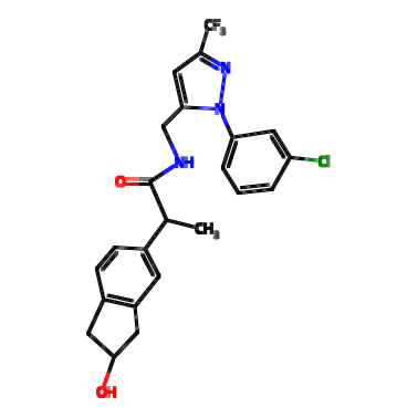 CC(C(=O)NCc1cc(C(F)(F)F)nn1-c1cccc(Cl)c1)c1ccc2c(c1)CC(O)C2